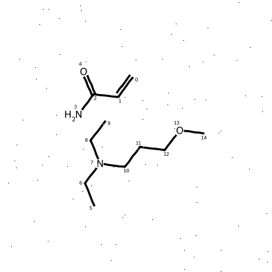 C=CC(N)=O.CCN(CC)CCCOC